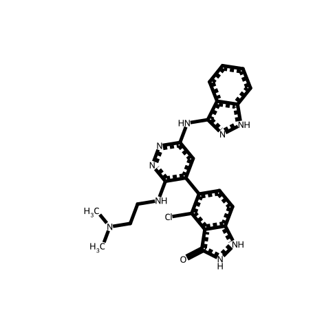 CN(C)CCNc1nnc(Nc2n[nH]c3ccccc23)cc1-c1ccc2[nH][nH]c(=O)c2c1Cl